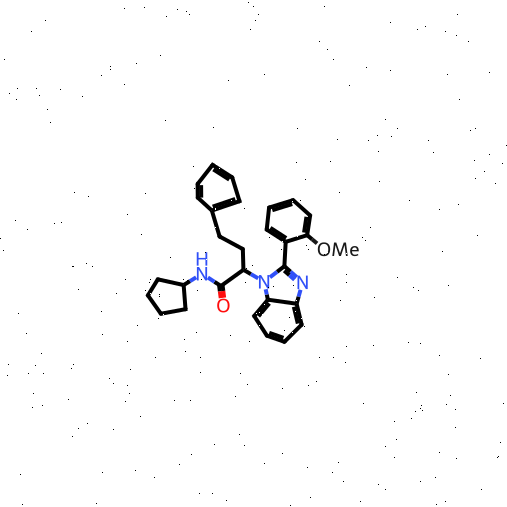 COc1ccccc1-c1nc2ccccc2n1C(CCc1ccccc1)C(=O)NC1CCCC1